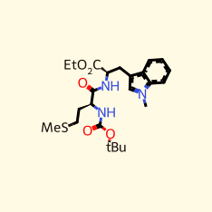 CCOC(=O)[C@@H](Cc1cn(C)c2ccccc12)NC(=O)[C@H](CCSC)NC(=O)OC(C)(C)C